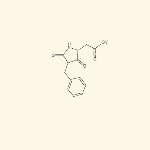 O=C(O)CC1NC(=S)C(Cc2ccccc2)C1=O